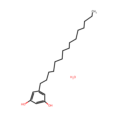 CCCCCCCCCCCCCCCc1cc(O)cc(O)c1.O